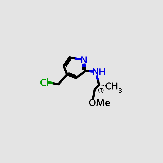 COC[C@@H](C)Nc1cc(CCl)ccn1